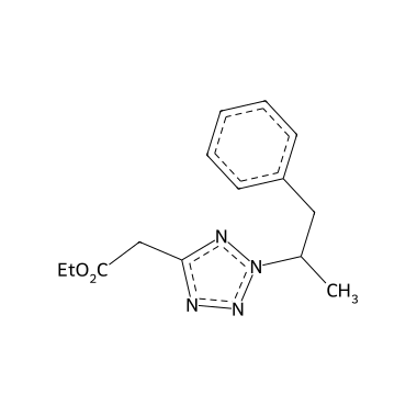 CCOC(=O)Cc1nnn(C(C)Cc2ccccc2)n1